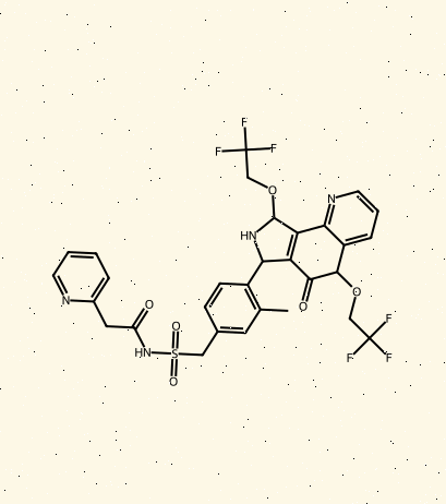 Cc1cc(CS(=O)(=O)NC(=O)Cc2ccccn2)ccc1C1NC(OCC(F)(F)F)C2=C1C(=O)C(OCC(F)(F)F)c1cccnc12